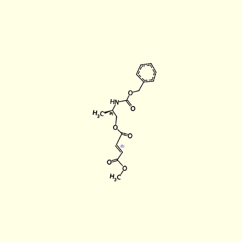 COC(=O)/C=C/C(=O)OC[C@@H](C)NC(=O)OCc1ccccc1